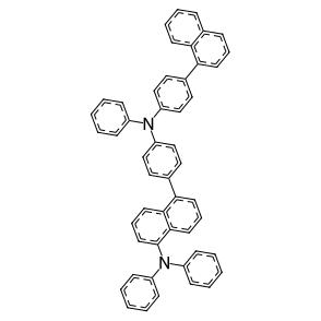 c1ccc(N(c2ccc(-c3cccc4ccccc34)cc2)c2ccc(-c3cccc4c(N(c5ccccc5)c5ccccc5)cccc34)cc2)cc1